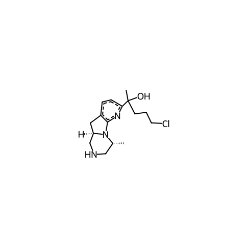 C[C@@H]1CNC[C@H]2Cc3ccc(C(C)(O)CCCCl)nc3N21